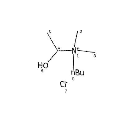 CCCC[N+](C)(C)C(C)O.[Cl-]